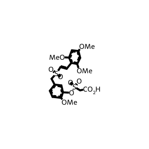 COc1cc(OC)c(C=CS(=O)(=O)Cc2ccc(OC)c(OS(=O)(=O)CC(=O)O)c2)c(OC)c1